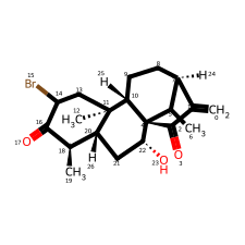 C=C1C(=O)[C@]23C(C)[C@H]1CC[C@H]2[C@]1(C)CC(Br)C(=O)[C@H](C)[C@H]1C[C@H]3O